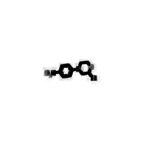 CCC1CN(c2ccc([N+](=O)[O-])cc2)CCO1